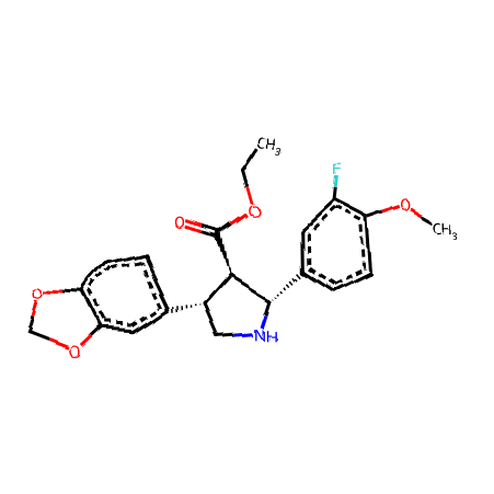 CCOC(=O)[C@@H]1[C@@H](c2ccc3c(c2)OCO3)CN[C@H]1c1ccc(OC)c(F)c1